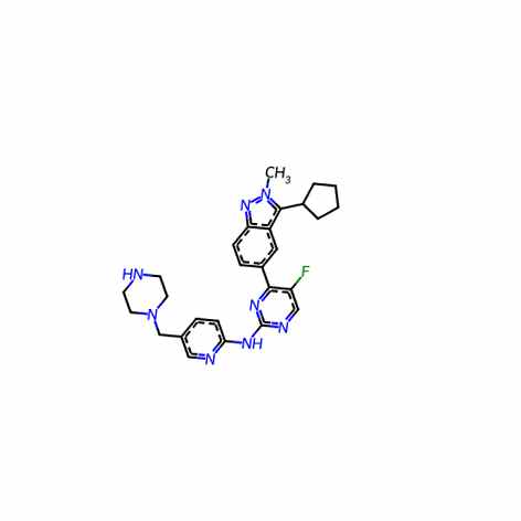 Cn1nc2ccc(-c3nc(Nc4ccc(CN5CCNCC5)cn4)ncc3F)cc2c1C1CCCC1